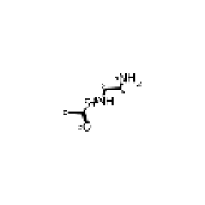 CC(=O)SNCCN